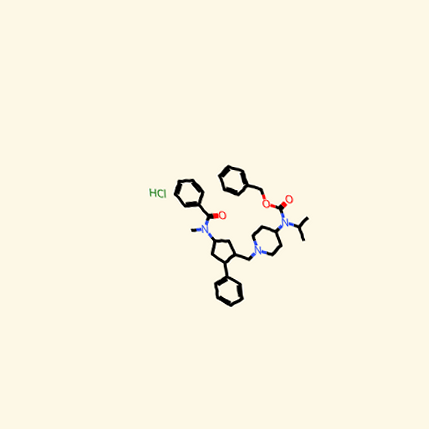 CC(C)N(C(=O)OCc1ccccc1)C1CCN(CC2CC(N(C)C(=O)c3ccccc3)CC2c2ccccc2)CC1.Cl